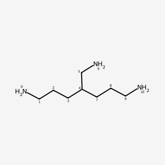 NCCCC(CN)CCCN